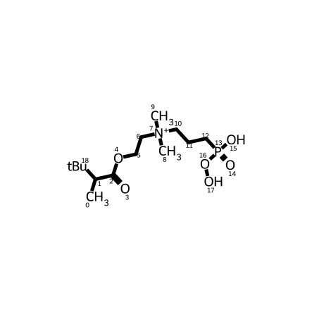 CC(C(=O)OCC[N+](C)(C)CCCP(=O)(O)OO)C(C)(C)C